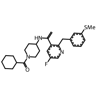 C=C(NC1CCN(C(=O)C2CCCCC2)CC1)c1cc(F)cnc1Cc1cccc(SC)c1